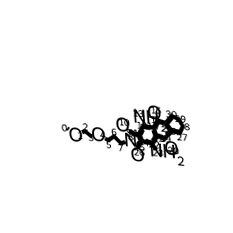 COCCOCCCn1c(=O)c2c(N)c3c(=O)c4c(c(=O)c3c(N)c2c1=O)=CCCC=4